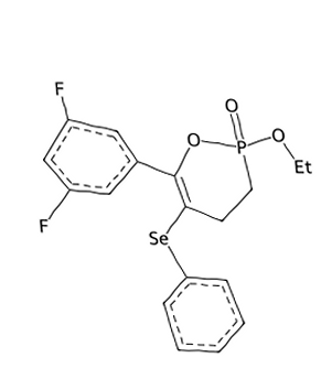 CCOP1(=O)CCC([Se]c2ccccc2)=C(c2cc(F)cc(F)c2)O1